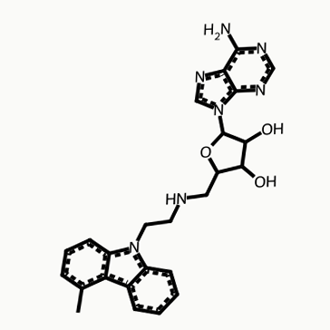 Cc1cccc2c1c1ccccc1n2CCNCC1OC(n2cnc3c(N)ncnc32)C(O)C1O